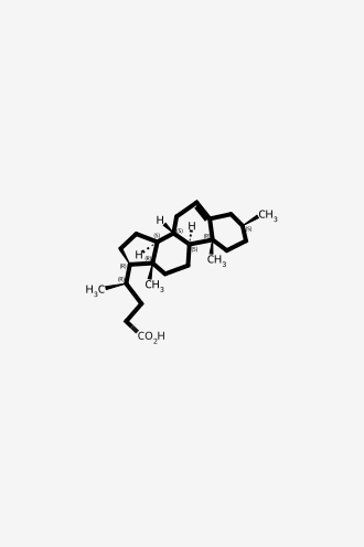 C[C@H]1CC[C@@]2(C)C(=CC[C@H]3[C@@H]4CC[C@H]([C@H](C)CCC(=O)O)[C@@]4(C)CC[C@@H]32)C1